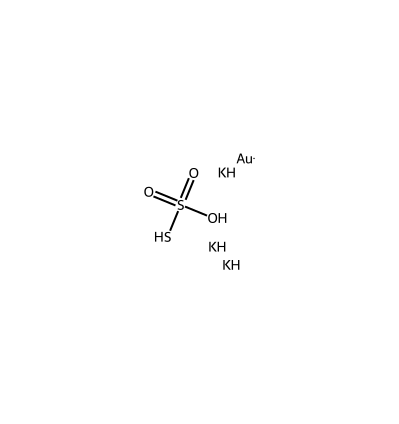 O=S(=O)(O)S.[Au].[KH].[KH].[KH]